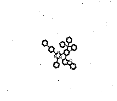 c1ccc(-c2ccc(-c3nc(-c4ccccc4)nc(-c4cc5c(cc4-c4cccc6c4oc4ccccc46)-c4ccccc4C5(c4ccccc4)c4ccccc4)n3)cc2)cc1